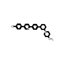 CC1CCN(C2CCCC(c3ccc(-c4ccc(-c5ccc(Cl)cc5)cn4)cc3)C2)CC1